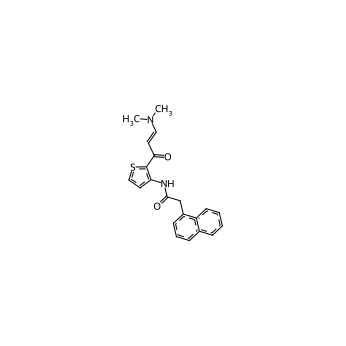 CN(C)C=CC(=O)c1sccc1NC(=O)Cc1cccc2ccccc12